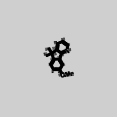 COc1ccc2c(c1)-c1ncccc1C2(C)C